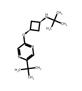 CC(C)(C)N[C@H]1C[C@@H](Oc2cnc(C(C)(C)C)cn2)C1